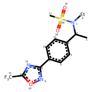 CCN(C(C)c1ccc(-c2noc(C(F)(F)F)n2)cc1)S(C)(=O)=O